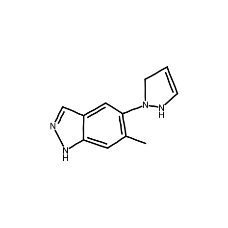 Cc1cc2[nH]ncc2cc1N1CC=CN1